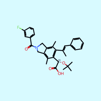 CC(=Cc1ccccc1)c1c(C)c2c(c(C)c1[C@H](OC(C)(C)C)C(=O)O)CN(C(=O)c1cccc(F)c1)C2